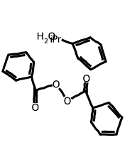 CC(C)c1ccccc1.O.O=C(OOC(=O)c1ccccc1)c1ccccc1